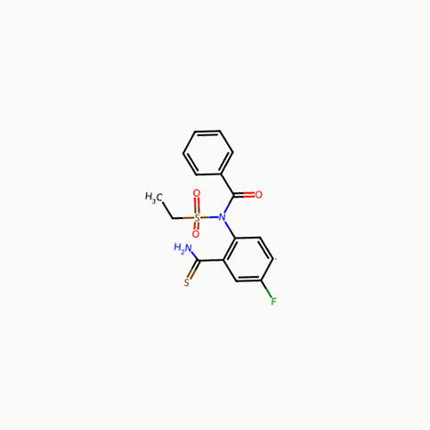 CCS(=O)(=O)N(C(=O)c1ccccc1)c1c[c]c(F)cc1C(N)=S